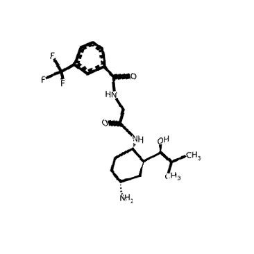 CC(C)[C@H](O)[C@H]1C[C@H](N)CC[C@@H]1NC(=O)CNC(=O)c1cccc(C(F)(F)F)c1